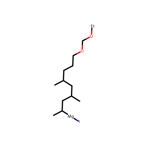 CCOCOCCCC(C)CC(C)C[CH](C)[Mg][I]